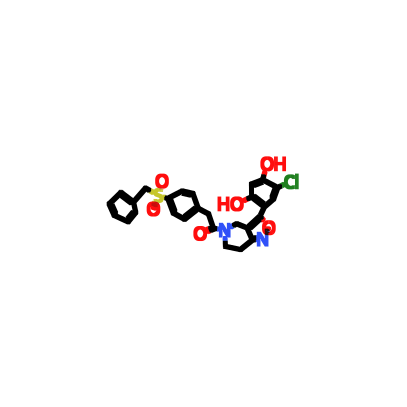 O=C(Cc1ccc(S(=O)(=O)Cc2ccccc2)cc1)N1CCc2noc(-c3cc(Cl)c(O)cc3O)c2C1